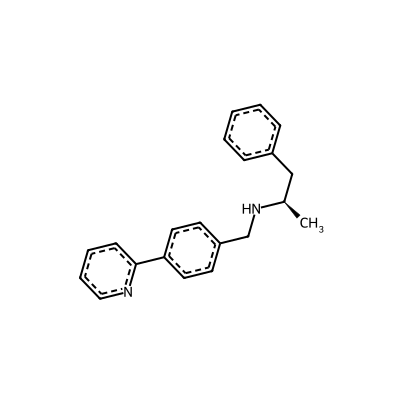 C[C@H](Cc1ccccc1)NCc1ccc(-c2ccccn2)cc1